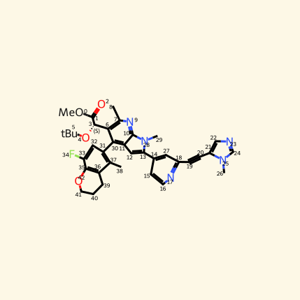 COC(=O)[C@@H](OC(C)(C)C)c1c(C)nc2c(cc(-c3ccnc(C#Cc4cncn4C)c3)n2C)c1-c1cc(F)c2c(c1C)CCCO2